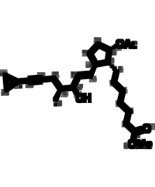 COC(=O)CCCCCC[C@H]1[C@@H](OC(C)=O)CC[C@@H]1/C=C/[C@@H](O)[C@@H](C)CC#CC1CC1